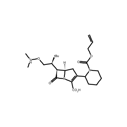 C=CCOC(=O)N1CCCCC1C1=C(C(=O)O)N2C(=O)[C@@H]([C@@H](CO[SiH](C)C)C(C)(C)C)[C@H]2C1